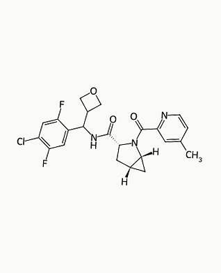 Cc1ccnc(C(=O)N2[C@@H](C(=O)NC(c3cc(F)c(Cl)cc3F)C3COC3)C[C@H]3C[C@H]32)c1